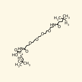 CC(C)(C)CCC(=O)NCCOCCOCCOCCOCCC(=O)N[C@H](CSCC(C)(C)C)C(=O)O